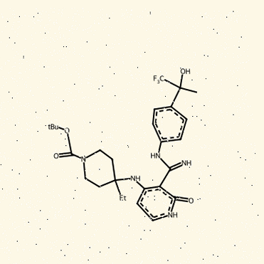 CCC1(Nc2cc[nH]c(=O)c2C(=N)Nc2ccc(C(C)(O)C(F)(F)F)cc2)CCN(C(=O)OC(C)(C)C)CC1